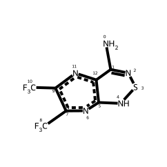 NC1=NSNc2nc(C(F)(F)F)c(C(F)(F)F)nc21